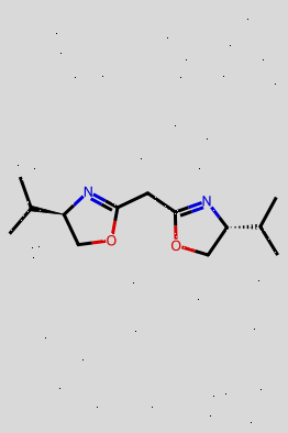 CC(C)[C@@H]1COC(CC2=N[C@H](C(C)C)CO2)=N1